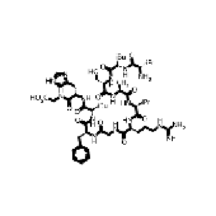 CC[C@H](C)[C@H](NC(=O)[C@H](Cc1ccccc1)NC(=O)CNC(=O)[C@H](CCCNC(=N)N)NC(=O)[C@@H](NC(=O)[C@H](C)NC(=O)[C@H](CO)NC(=O)[C@@H](NC(=O)[C@@H](N)C(C)C)[C@@H](C)CC)C(C)C)C(=O)N[C@@H](Cc1c[nH]cn1)C(=O)NCC(=O)O